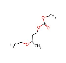 CCOC(C)CCOC(=O)OC